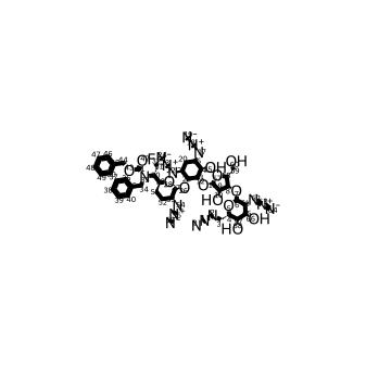 [N-]=[N+]=NC[C@@H]1OC(O[C@H]2[C@@H](O)[C@H](O[C@@H]3[C@@H](O)[C@H](N=[N+]=[N-])C[C@H](N=[N+]=[N-])[C@H]3O[C@H]3O[C@H]([C@@H](CF)N(Cc4ccccc4)C(=O)OCc4ccccc4)CC[C@H]3N=[N+]=[N-])O[C@@H]2CO)[C@H](N=[N+]=[N-])[C@@H](O)[C@@H]1O